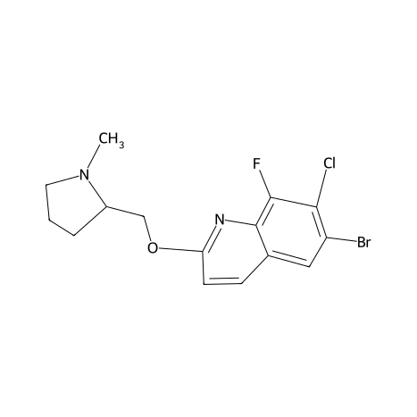 CN1CCCC1COc1ccc2cc(Br)c(Cl)c(F)c2n1